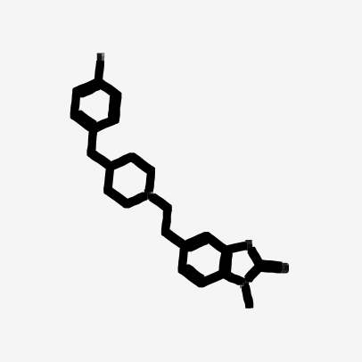 Cn1c(=O)sc2cc(CCN3CCC(Cc4ccc(F)cc4)CC3)ccc21